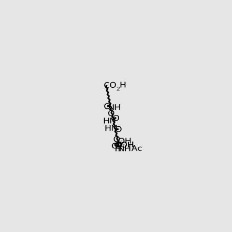 CC(=O)N[C@H]1[C@H]2OC[C@](COCCCCC(=O)NCCCNC(=O)CCOCCNC(=O)CCCCCCCCCCC(=O)O)(O2)[C@H](O)[C@@H]1O